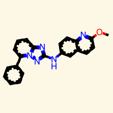 COc1ccc2cc(Nc3nc4cccc(-c5ccccc5)n4n3)ccc2n1